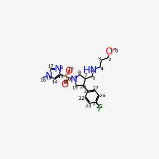 COCCCNCC1CN(S(=O)(=O)c2cn(C)cn2)CC1c1ccc(F)cc1